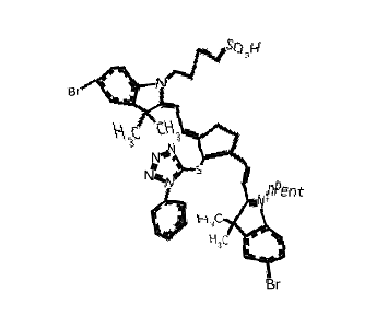 CCCCC[N+]1=C(/C=C/C2=C(Sc3nnnn3-c3ccccc3)C(=C/C=C3/N(CCCCS(=O)(=O)O)c4ccc(Br)cc4C3(C)C)/CC2)C(C)(C)c2cc(Br)ccc21